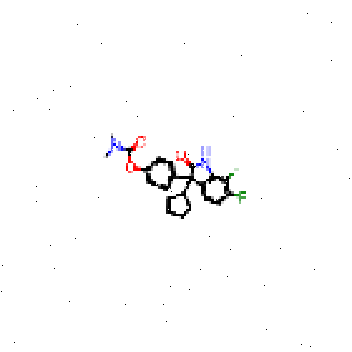 CN(C)C(=O)Oc1ccc(C2(C3CCCC3)C(=O)Nc3c2ccc(F)c3F)cc1